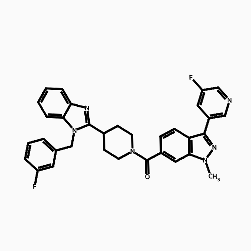 Cn1nc(-c2cncc(F)c2)c2ccc(C(=O)N3CCC(c4nc5ccccc5n4Cc4cccc(F)c4)CC3)cc21